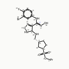 CC(C)OS(=O)(=O)N1CC[C@@H](CNC2NON=C2/C(=N/O)Nc2ccc(F)c(Br)c2)C1